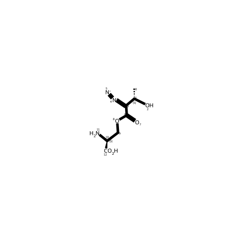 C[C@H](O)C(=[N+]=[N-])C(=O)OC[C@H](N)C(=O)O